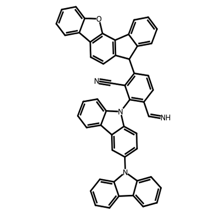 N#Cc1c(C2c3ccccc3-c3c2ccc2c3oc3ccccc32)ccc(C=N)c1-n1c2ccccc2c2cc(-n3c4ccccc4c4ccccc43)ccc21